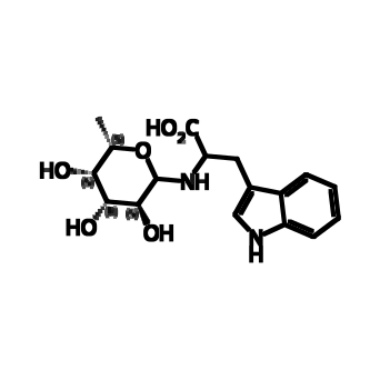 C[C@@H]1OC(NC(Cc2c[nH]c3ccccc23)C(=O)O)[C@@H](O)[C@H](O)[C@@H]1O